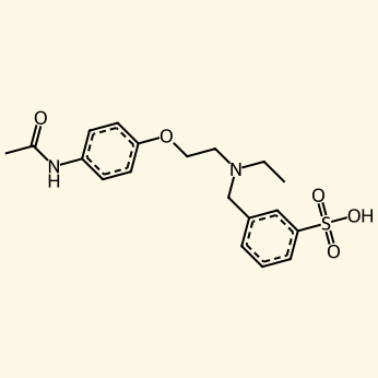 CCN(CCOc1ccc(NC(C)=O)cc1)Cc1cccc(S(=O)(=O)O)c1